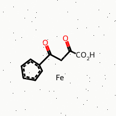 O=C(O)C(=O)CC(=O)c1ccccc1.[Fe]